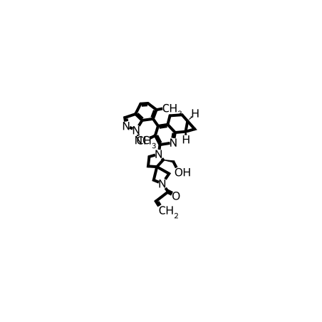 C=CC(=O)N1CC2(CCN(c3nc4c(c(-c5c(C)ccc6cnn(C)c56)c3C#N)CC[C@H]3C[C@H]43)[C@H]2CO)C1